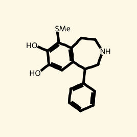 CSc1c(O)c(O)cc2c1CCNCC2c1ccccc1